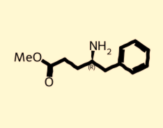 COC(=O)CC[C@@H](N)Cc1ccccc1